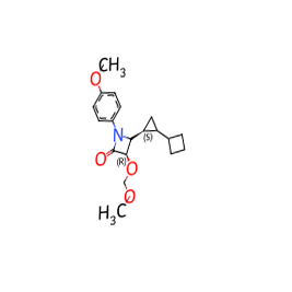 COCO[C@H]1C(=O)N(c2ccc(OC)cc2)C1[C@H]1CC1C1CCC1